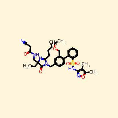 CCCCC1=NC(CC)(CNC(=O)CC#N)C(=O)N1Cc1ccc(-c2ccccc2S(=O)(=O)Nc2noc(C)c2C)c(COCC)c1